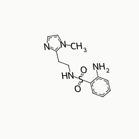 Cn1ccnc1CCNS(=O)(=O)c1ccccc1N